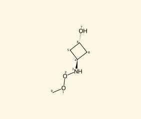 COON[C@H]1C[C@H](O)C1